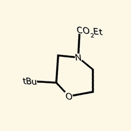 CCOC(=O)N1CCOC(C(C)(C)C)C1